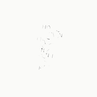 O=C(Nc1cc2cc(-c3cnccc3CO)cc(Cl)c2cn1)[C@@H]1C[C@@H]1F